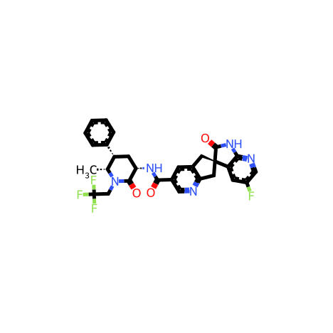 C[C@@H]1[C@H](c2ccccc2)C[C@H](NC(=O)c2cnc3c(c2)C[C@@]2(C3)C(=O)Nc3ncc(F)cc32)C(=O)N1CC(F)(F)F